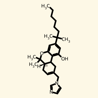 CCCCCCC(C)(C)c1cc(O)c2c(c1)OC(C)(C)[C@H]1CC=C(Cn3ccnc3)CC21